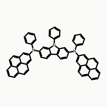 c1ccc(N(c2cc3ccc4cccc5ccc(c2)c3c45)c2ccc3c4ccc(N(c5ccccc5)c5cc6ccc7cccc8ccc(c5)c6c78)cc4n(-c4ccccc4)c3c2)cc1